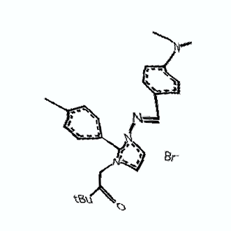 Cc1ccc(-c2n(/N=C/c3ccc(N(C)C)cc3)cc[n+]2CC(=O)C(C)(C)C)cc1.[Br-]